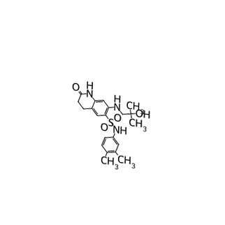 Cc1ccc(NS(=O)(=O)c2cc3c(cc2NCC(C)(C)O)NC(=O)CC3)cc1C